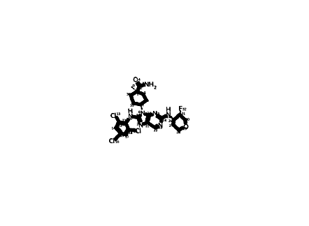 C[C@]1(C(N)=O)CC[C@H](n2c(Nc3c(Cl)cc(Cl)cc3Cl)nc3cnc(N[C@@H]4CCOC[C@H]4F)nc32)CC1